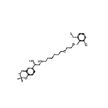 CC1(C)OCc2cc([C@@H](O)CNCCCCCCOCCOCc3c(Cl)cccc3CI)ccc2O1